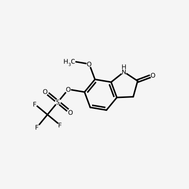 COc1c(OS(=O)(=O)C(F)(F)F)ccc2c1NC(=O)C2